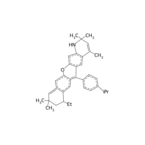 CCC1CC(C)(C)C=c2cc3c(cc21)=C(c1ccc(C(C)C)cc1)c1cc2c(cc1O3)NC(C)(C)C=C2C